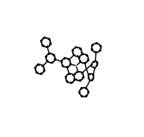 c1ccc(-c2cc(-c3ccccc3)cc(-c3cc4c5c(c3)-c3cccc6ccc7c(c36)N5c3c(ccc5cccc-4c35)C73c4cc(-c5ccccc5)ccc4-c4ccc(-c5ccccc5)cc43)c2)cc1